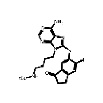 CC(C)(C)NCCCCn1c(Sc2cc3c(cc2I)CCC3=O)nc2c(N)ncnc21